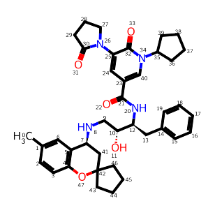 Cc1ccc2c(c1)[C@@H](NC[C@@H](O)[C@H](Cc1ccccc1)NC(=O)c1cc(N3CCCC3=O)c(=O)n(C3CCCC3)c1)CC1(CCCC1)O2